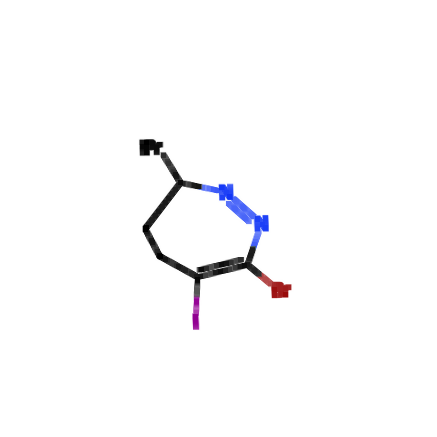 CC(C)C1CCC(I)=C(Br)N=N1